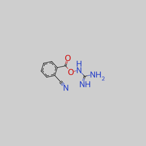 N#Cc1ccccc1C(=O)ONC(=N)N